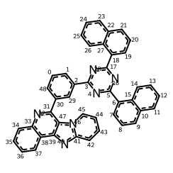 c1cc(-c2nc(-c3cccc4ccccc34)nc(-c3cccc4ccccc34)n2)cc(-c2nc3ccccc3c3nc4ccccn4c23)c1